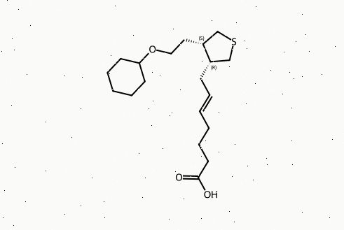 O=C(O)CCCC=CC[C@H]1CSC[C@H]1CCOC1CCCCC1